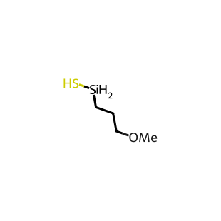 COCCC[SiH2]S